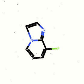 Fc1cccn2c[c]nc12